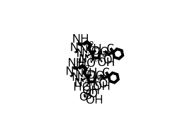 CC1(C(=O)O[C@H]2O[C@@](C#N)(c3ccc4c(N)ncnn34)[C@H](O)[C@@H]2O)CCCCC1.CC1(C(=O)O[C@H]2O[C@@](C#N)(c3ccc4c(N)ncnn34)[C@H](O)[C@@H]2O)CCCCC1.O=S(=O)(O)O